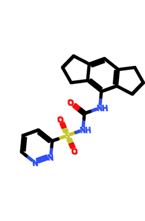 O=C(Nc1c2c(cc3c1CCC3)CCC2)NS(=O)(=O)c1cccnn1